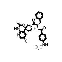 O=C(O)Nc1ccc(C(=O)N[C@@H](Cc2ccccc2)C(=O)N2CC[C@]3(C2)OC(=O)Nc2ncc(Cl)cc23)cc1